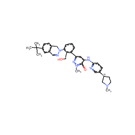 CN1CC[C@H](c2ccc(Nc3cc(-c4cccc(N5Cc6ccc(C(C)(C)C)cc6C=N5)c4CO)nn(C)c3=O)nc2)C1